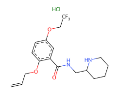 C=CCOc1ccc(OCC(F)(F)F)cc1C(=O)NCC1CCCCN1.Cl